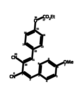 [C-]#[N+]C(=Cc1ccc(OC)cc1)C(=Cc1ccc(OC(=O)OCC)cc1)[N+]#[C-]